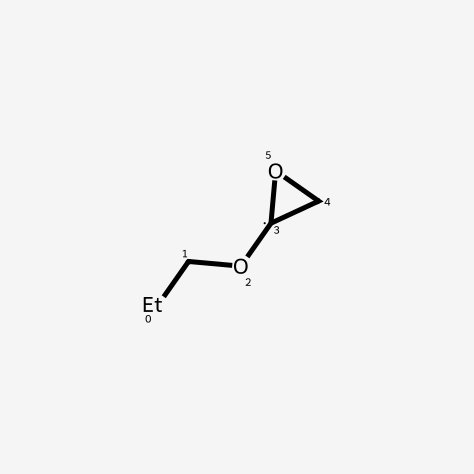 CCCO[C]1CO1